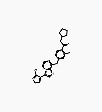 Cc1cc(Cc2nccn3c(C4=CCN=C4C(F)(F)F)cnc23)ccc1C(=O)CC1CCCC1